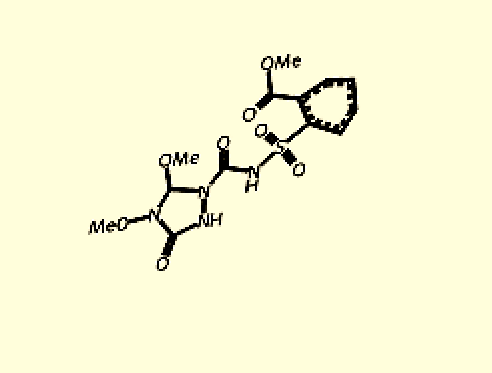 COC(=O)c1ccccc1S(=O)(=O)NC(=O)N1NC(=O)N(OC)C1OC